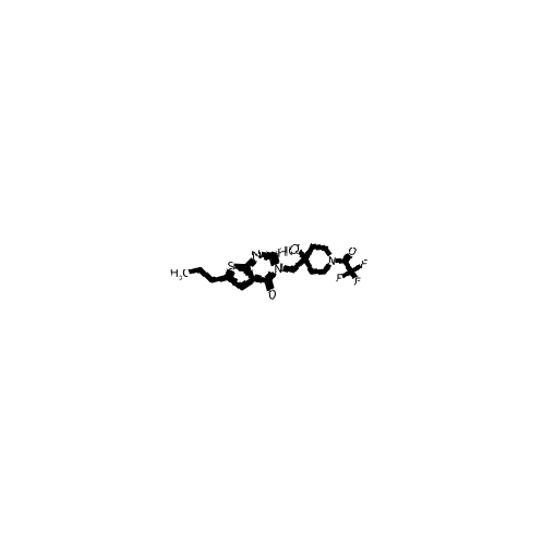 CCCc1cc2c(=O)n(CC3(O)CCN(C(=O)C(F)(F)F)CC3)cnc2s1